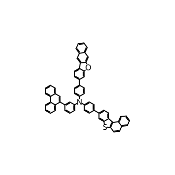 c1cc(-c2cc3ccccc3c3ccccc23)cc(N(c2ccc(-c3ccc4c(c3)oc3cc5ccccc5cc34)cc2)c2ccc(-c3ccc4c(c3)sc3ccc5ccccc5c34)cc2)c1